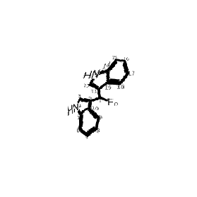 F[C](c1c[nH]c2ccccc12)c1c[nH]c2ccccc12